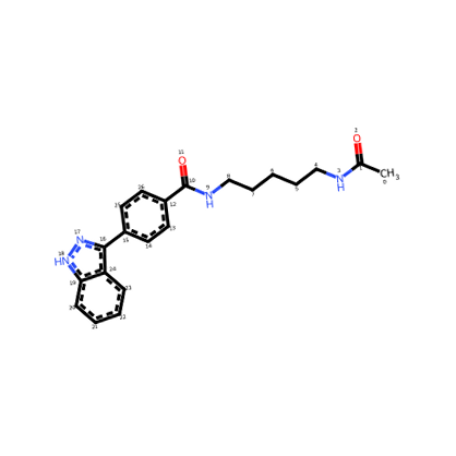 CC(=O)NCCCCCNC(=O)c1ccc(-c2n[nH]c3ccccc23)cc1